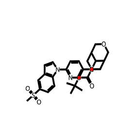 CC(C)(C)OC(=O)N1CC2COCC(C1)C2Oc1ccc(-n2ccc3cc(S(C)(=O)=O)ccc32)nc1